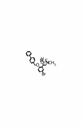 CN(C)C[C@H](O)c1cc(Br)ccc1OCc1ccc(-c2ccccc2)cc1